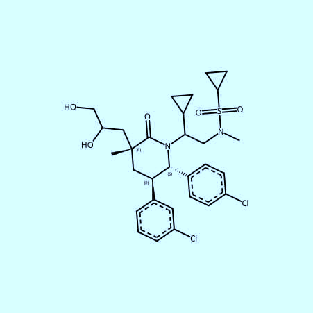 CN(CC(C1CC1)N1C(=O)[C@@](C)(CC(O)CO)C[C@H](c2cccc(Cl)c2)[C@H]1c1ccc(Cl)cc1)S(=O)(=O)C1CC1